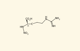 N=C(N)NCCC[C@@H](N[N+](=O)[O-])C(=O)O